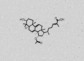 CC(=O)O[C@H]1C[C@H]([C@H](C)CC/C=C(\C)C(=O)O)[C@@]2(C)CC=C3C(=CC[C@H]4C(C)(C)[C@@H](O)CC[C@]34C)[C@]12C